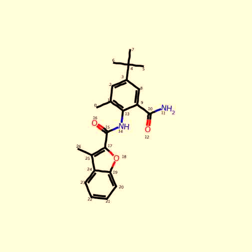 Cc1cc(C(C)(C)C)cc(C(N)=O)c1NC(=O)c1oc2ccccc2c1C